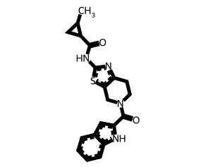 CC1CC1C(=O)Nc1nc2c(s1)CN(C(=O)c1cc3ccccc3[nH]1)CC2